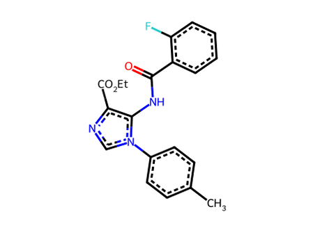 CCOC(=O)c1ncn(-c2ccc(C)cc2)c1NC(=O)c1ccccc1F